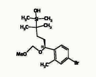 COCO[C@@H](CCC(C)(C)[Si](C)(C)O)c1ccc(Br)cc1C